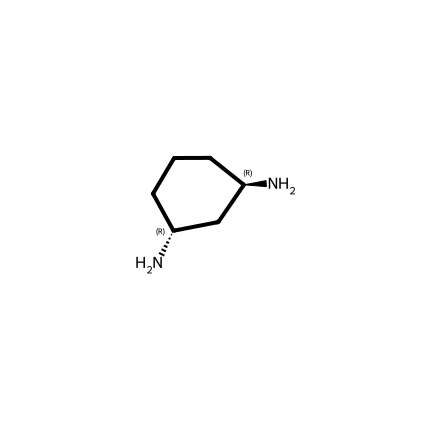 N[C@@H]1CCC[C@@H](N)C1